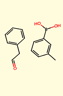 Cc1cccc(B(O)O)c1.O=CCc1ccccc1